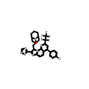 FC(F)(F)C(F)(F)c1cc(-c2ccc(Cl)cc2)c2ccc3nc(-c4nnco4)c(CCB4C5CCCC4CCC5)n3c2n1